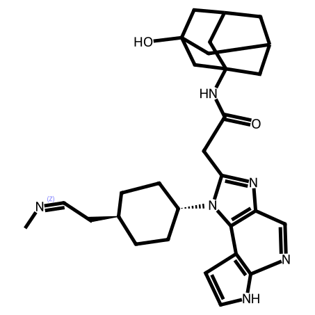 C/N=C\C[C@H]1CC[C@H](n2c(CC(=O)NC34CC5CC(CC(O)(C5)C3)C4)nc3cnc4[nH]ccc4c32)CC1